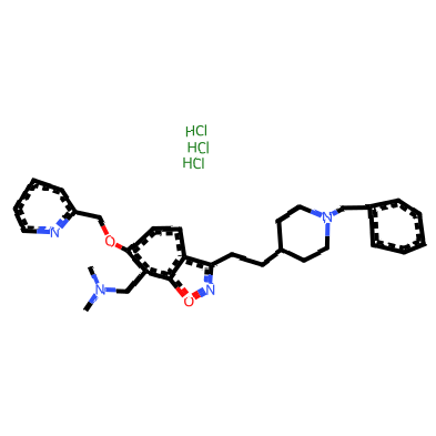 CN(C)Cc1c(OCc2ccccn2)ccc2c(CCC3CCN(Cc4ccccc4)CC3)noc12.Cl.Cl.Cl